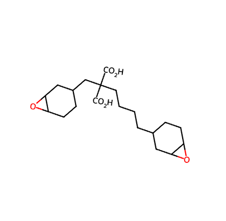 O=C(O)C(CCCCC1CCC2OC2C1)(CC1CCC2OC2C1)C(=O)O